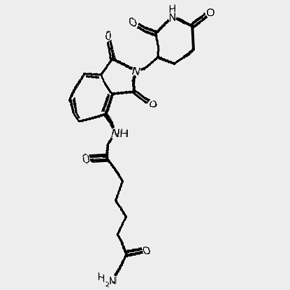 NC(=O)CCCCC(=O)Nc1cccc2c1C(=O)N(C1CCC(=O)NC1=O)C2=O